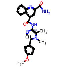 C=N/C(NC(=O)c1cc(C(N)=O)nc2ccccc12)=C(/C)N(C)Cc1ccc(OC(F)(F)F)cc1